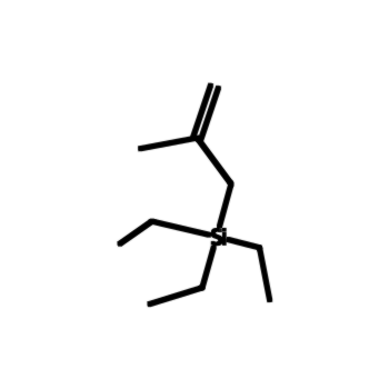 C=C(C)C[Si](CC)(CC)CC